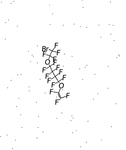 FC(F)=C(F)OC(F)(F)C(F)(F)C(F)(F)C(F)(F)OC(F)(F)C(F)(F)Br